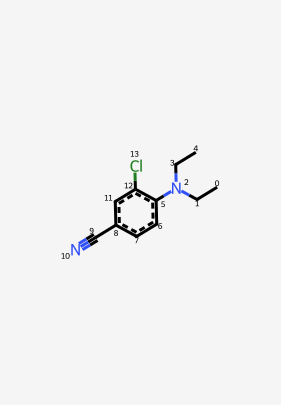 CCN(CC)c1ccc(C#N)cc1Cl